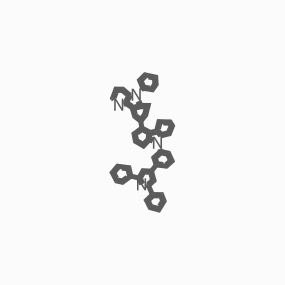 c1ccc(-c2cc(-c3cccc(-n4c5ccccc5c5c(-c6ccc7c(c6)c6ncccc6n7-c6ccccc6)cccc54)c3)cc(-c3ccccc3)n2)cc1